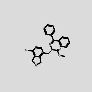 COC(=O)[C@H](Cc1ccc(Br)c2c1COC2)N=C(c1ccccc1)c1ccccc1